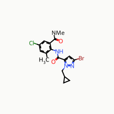 CNC(=O)c1cc(Cl)cc(C)c1NC(=O)c1cc(Br)nn1CC1CC1